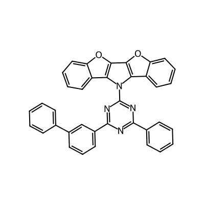 c1ccc(-c2cccc(-c3nc(-c4ccccc4)nc(-n4c5c6ccccc6oc5c5oc6ccccc6c54)n3)c2)cc1